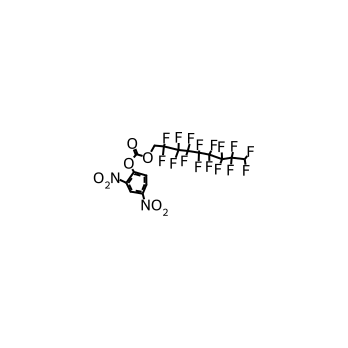 O=C(OCC(F)(F)C(F)(F)C(F)(F)C(F)(F)C(F)(F)C(F)(F)C(F)(F)C(F)F)Oc1ccc([N+](=O)[O-])cc1[N+](=O)[O-]